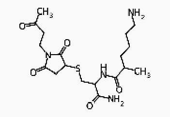 CC(=O)CCN1C(=O)CC(SCC(NC(=O)C(C)CCCCN)C(N)=O)C1=O